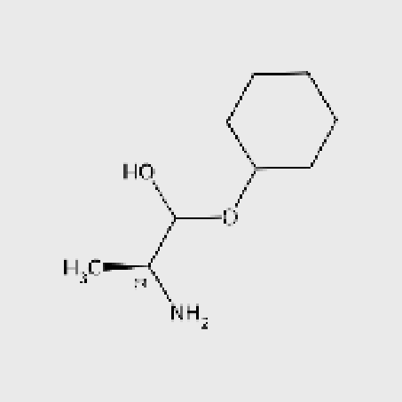 C[C@H](N)C(O)OC1CCCCC1